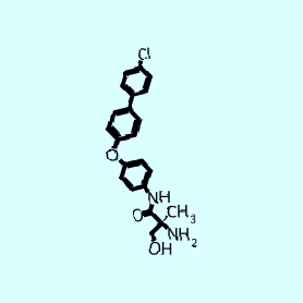 C[C@](N)(CO)C(=O)Nc1ccc(Oc2ccc(-c3ccc(Cl)cc3)cc2)cc1